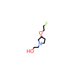 OCCN1CC[C@@H](OCCF)C1